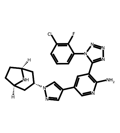 Nc1ncc(-c2cnn([C@@H]3C[C@H]4CC[C@@H](C3)N4)c2)cc1-c1nnnn1-c1cccc(Cl)c1F